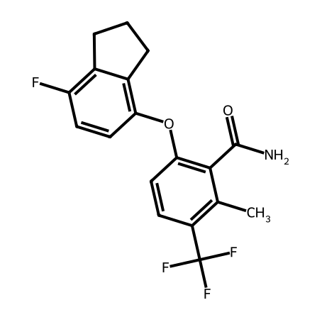 Cc1c(C(F)(F)F)ccc(Oc2ccc(F)c3c2CCC3)c1C(N)=O